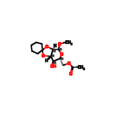 CO[C@H]1O[C@H](COC(C)=O)[C@@H](O)[C@@H]2OC3(CCCCC3)O[C@@H]12